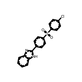 O=S(=O)(c1ccc(Cl)cc1)c1ccc(-c2nc3ccccc3[nH]2)cc1